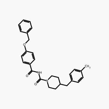 Cc1ccc(CC2CCN(C(=O)NC(=O)c3ccc(OCc4ccccc4)cc3)CC2)cc1